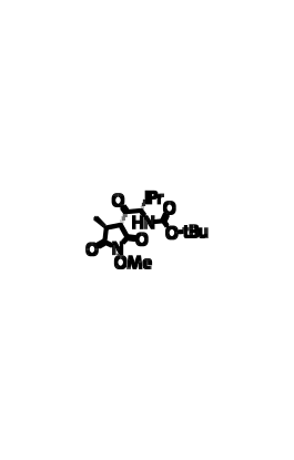 CON1C(=O)[C@@H](C(=O)[C@@H](NC(=O)OC(C)(C)C)C(C)C)[C@H](C)C1=O